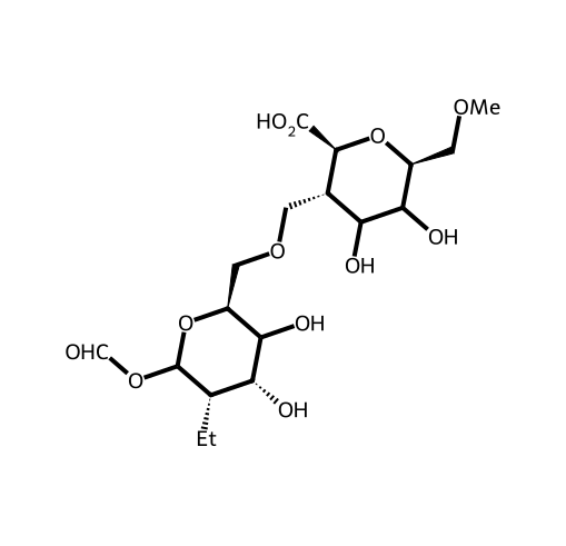 CC[C@@H]1C(OC=O)O[C@@H](COC[C@H]2C(O)C(O)[C@H](COC)O[C@@H]2C(=O)O)C(O)[C@@H]1O